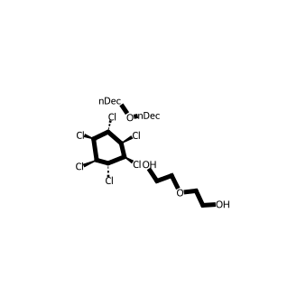 CCCCCCCCCCOCCCCCCCCCC.Cl[C@H]1[C@H](Cl)[C@@H](Cl)[C@@H](Cl)[C@H](Cl)[C@H]1Cl.OCCOCCO